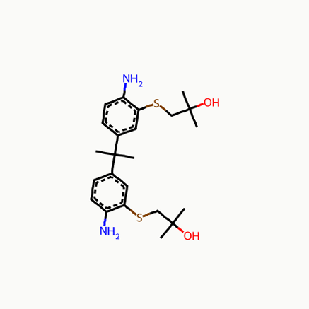 CC(C)(O)CSc1cc(C(C)(C)c2ccc(N)c(SCC(C)(C)O)c2)ccc1N